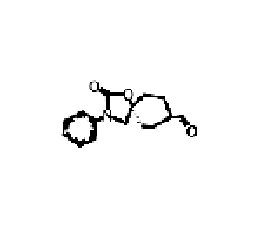 O=C[C@H]1CC[C@]2(CC1)CN(c1ccccc1)C(=O)O2